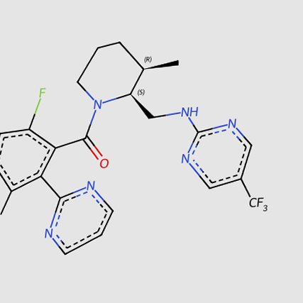 Cc1ccc(F)c(C(=O)N2CCC[C@@H](C)[C@H]2CNc2ncc(C(F)(F)F)cn2)c1-c1ncccn1